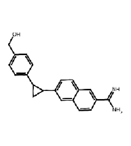 N=C(N)c1ccc2cc(C3CC3c3ccc(CO)cc3)ccc2c1